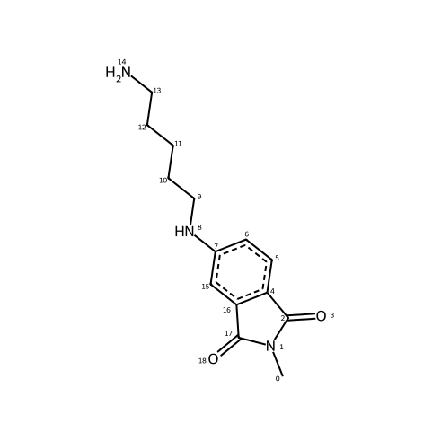 CN1C(=O)c2ccc(NCCCCCN)cc2C1=O